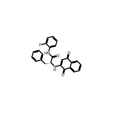 O=C1C=C(N[C@H](Cc2ccccc2)C(=O)Nc2ccccc2F)C(=O)c2ccccc21